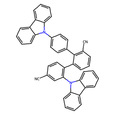 N#Cc1ccc(-c2cccc(C#N)c2-c2ccc(-n3c4ccccc4c4ccccc43)cc2)c(-n2c3ccccc3c3ccccc32)c1